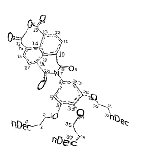 CCCCCCCCCCCCOc1cc(N2C(=O)c3ccc4c5c(ccc(c35)C2=O)C(=O)OC4=O)cc(OCCCCCCCCCCCC)c1OCCCCCCCCCCCC